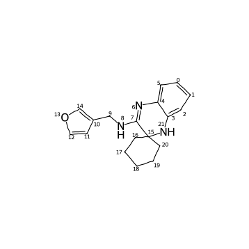 c1ccc2c(c1)N=C(NCc1ccoc1)C1(CCCCC1)N2